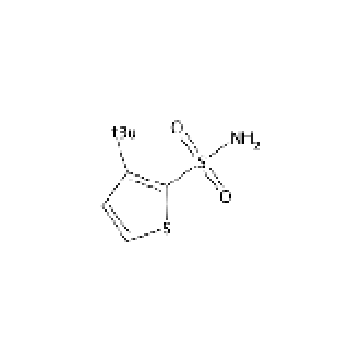 CC(C)(C)c1ccsc1S(N)(=O)=O